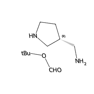 CC(C)(C)OC=O.NC[C@H]1CCNC1